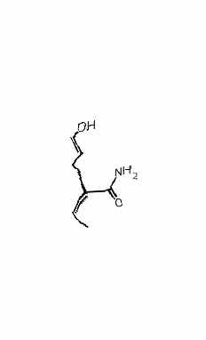 CC=C(CC=CO)C(N)=O